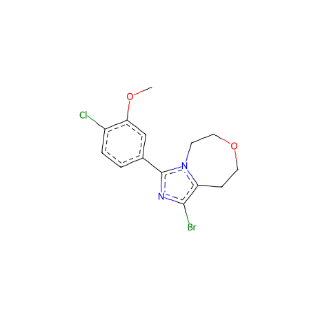 COc1cc(-c2nc(Br)c3n2CCOCC3)ccc1Cl